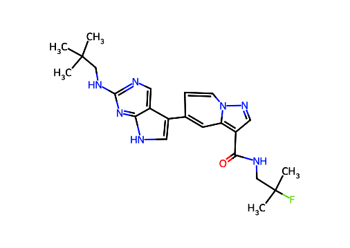 CC(C)(C)CNc1ncc2c(-c3ccn4ncc(C(=O)NCC(C)(C)F)c4c3)c[nH]c2n1